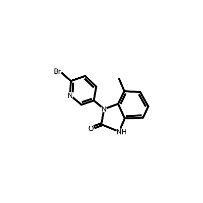 Cc1cccc2[nH]c(=O)n(-c3ccc(Br)nc3)c12